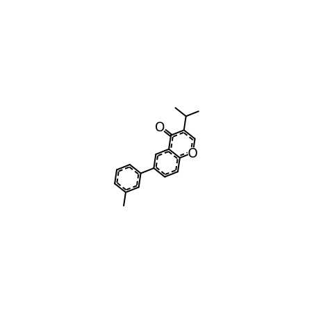 Cc1cccc(-c2ccc3occ(C(C)C)c(=O)c3c2)c1